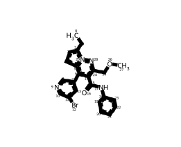 CCc1ccc2c(-c3cncc(Br)c3)c(C(=O)Nc3ccccc3)c(COC)nn12